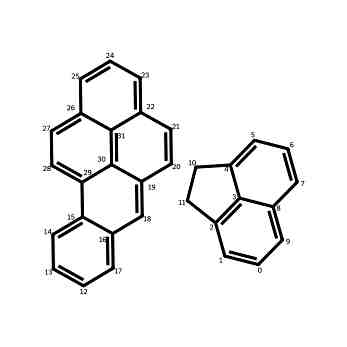 c1cc2c3c(cccc3c1)CC2.c1ccc2c(c1)cc1ccc3cccc4ccc2c1c34